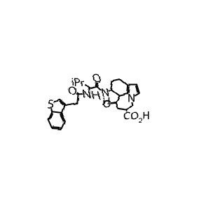 CC(C)C(NC(=O)Cc1csc2ccccc12)C(=O)N[C@H]1CCc2ccn3c2C1C(=O)C[C@H](C(=O)O)C3